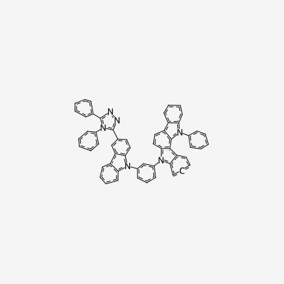 c1ccc(-c2nnc(-c3ccc4c(c3)c3ccccc3n4-c3cccc(-n4c5ccccc5c5c4ccc4c6ccccc6n(-c6ccccc6)c45)c3)n2-c2ccccc2)cc1